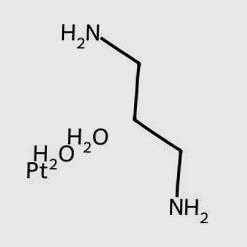 NCCCN.O.O.[Pt]